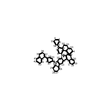 c1ccc(-c2ccc(-n3c4cc5c(cc4c4c6ccccc6ccc43)c3ccccc3n5-c3ccc(-c4cccc5ccccc45)cc3)c3c2ccc2ccccc23)cc1